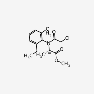 CCc1cccc(C)c1N(C(=O)CCl)[C@@H](C)C(=O)OC